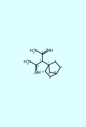 N=C(N)C(C(=N)N)C12CCC(CC1)C2